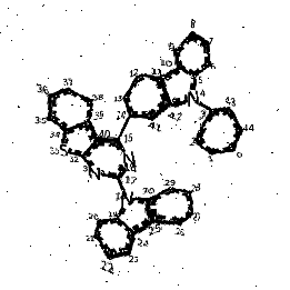 c1ccc(-n2c3ccccc3c3ccc(-c4nc(-n5c6ccccc6c6ccccc65)nc5sc6ccccc6c45)cc32)cc1